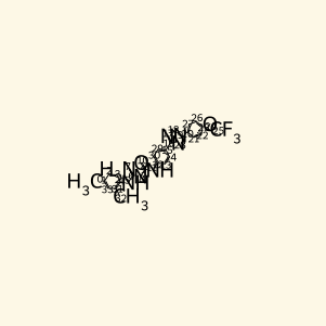 Cc1ccc(N/C(N)=N/C(=O)Nc2ccc(-c3ncn(-c4ccc(OC(F)(F)F)cc4)n3)cc2)c(C)c1